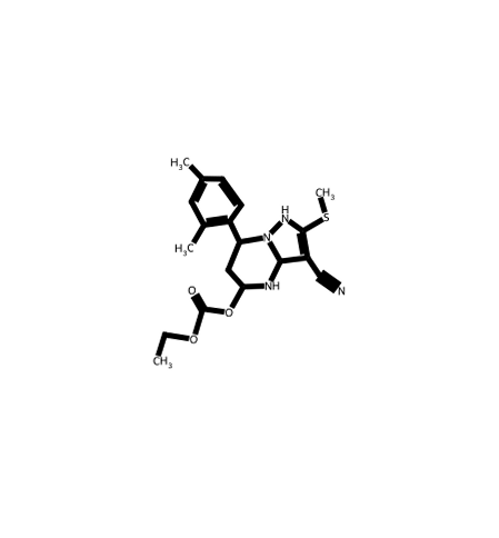 CCOC(=O)OC1CC(c2ccc(C)cc2C)N2NC(SC)=C(C#N)C2N1